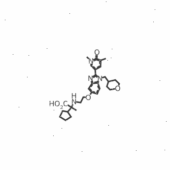 Cc1cc(-c2nc3cc(OCCNC(C)(C(=O)O)C4CCCC4)ccc3n2CC2CCOCC2)cn(C)c1=O